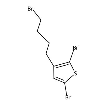 BrCCCCc1cc(Br)sc1Br